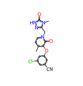 Cc1ccn(Cc2n[nH]c(=O)n2C)c(=O)c1Oc1cc(Cl)cc(C#N)c1